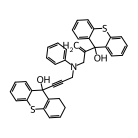 C=C(CN(CC#CC1(O)C2=C(C=CCC2)Sc2ccccc21)c1ccccc1)C1(O)c2ccccc2Sc2ccccc21